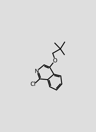 CC(C)(C)COc1cnc(Cl)c2ccccc12